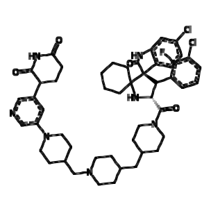 O=C1CCC(c2cncc(N3CCC(CN4CCC(CC5CCN(C(=O)[C@@H]6NC7(CCCCC7)[C@@]7(C(=O)Nc8cc(Cl)ccc87)C6c6cccc(Cl)c6F)CC5)CC4)CC3)c2)C(=O)N1